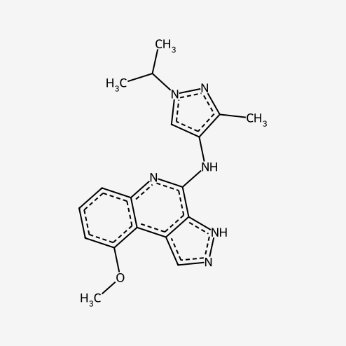 COc1cccc2nc(Nc3cn(C(C)C)nc3C)c3[nH]ncc3c12